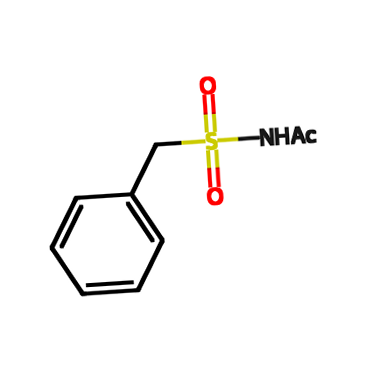 CC(=O)NS(=O)(=O)Cc1ccccc1